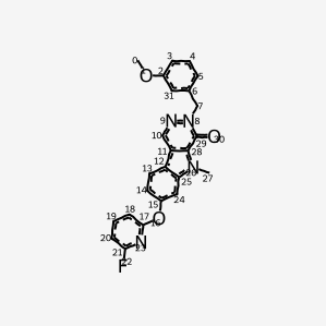 COc1cccc(Cn2ncc3c4ccc(Oc5cccc(F)n5)cc4n(C)c3c2=O)c1